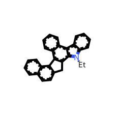 CCn1c2ccccc2c2c3ccccc3c3c(c21)Cc1ccc2ccccc2c1-3